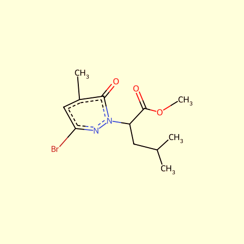 COC(=O)C(CC(C)C)n1nc(Br)cc(C)c1=O